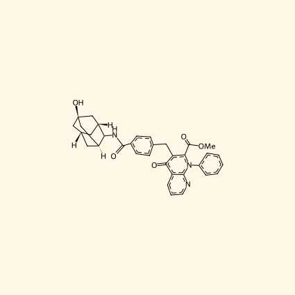 COC(=O)c1c(Cc2ccc(C(=O)NC3[C@@H]4C[C@@H]5C[C@H]3C[C@](O)(C5)C4)cc2)c(=O)c2cccnc2n1-c1ccccc1